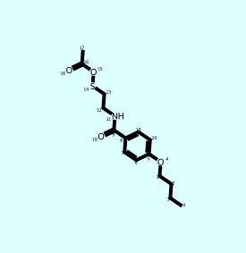 CCCCOc1ccc(C(=O)NCCSOC(C)=O)cc1